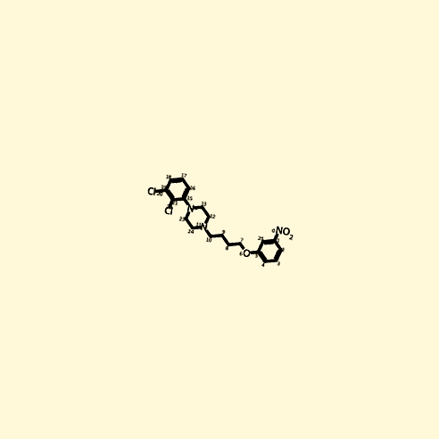 O=[N+]([O-])c1cccc(OCCCCN2CCN(c3cccc(Cl)c3Cl)CC2)c1